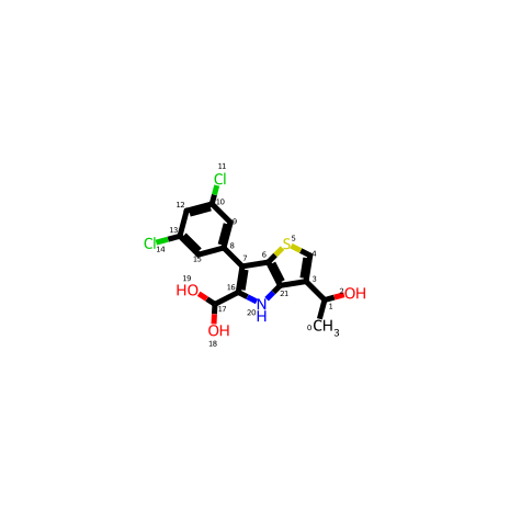 CC(O)c1csc2c(-c3cc(Cl)cc(Cl)c3)c(C(O)O)[nH]c12